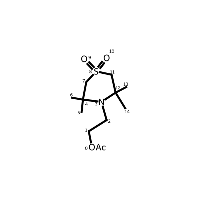 CC(=O)OCCN1C(C)(C)CS(=O)(=O)CC1(C)C